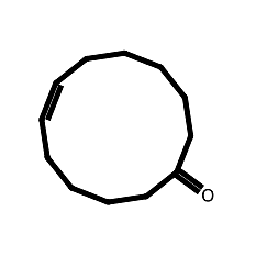 O=C1CCCCC=CCCCCC1